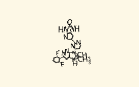 CC1(C)[C@H]2CC[C@]1(c1ccnc(-c3cnc4[nH]c(=O)[nH]c4c3)n1)c1nnc(-c3c(F)cccc3F)cc12